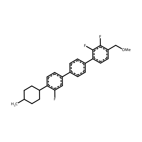 COCc1ccc(-c2ccc(-c3ccc(C4CCC(C)CC4)c(F)c3)cc2)c(F)c1F